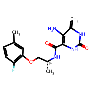 C=C1NC(=O)NC(C(=O)N[C@H](C)COc2cc(C)ccc2F)=C1N